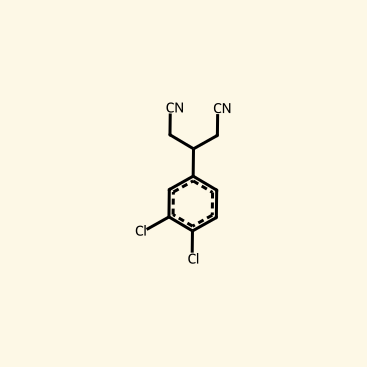 N#CCC(CC#N)c1ccc(Cl)c(Cl)c1